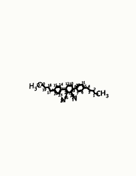 CCCCCc1ccc(-c2ccc(-c3ccc(CCCCC)cc3)c(C#N)c2C#N)cc1